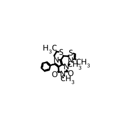 Cc1csc(C2SC(C)Cn3c(-c4ccccc4)c4c(=O)n(C)c(=O)n(C)c4c32)n1